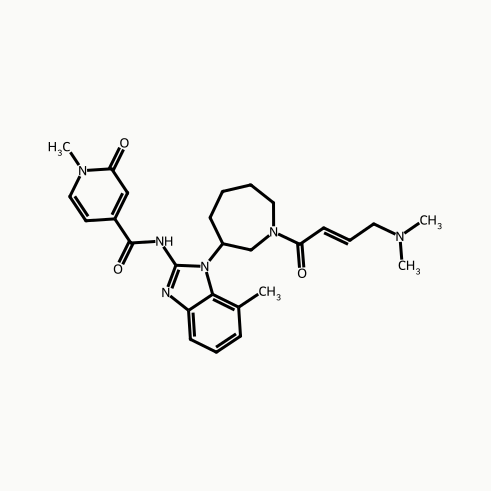 Cc1cccc2nc(NC(=O)c3ccn(C)c(=O)c3)n(C3CCCCN(C(=O)C=CCN(C)C)C3)c12